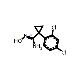 N/C(=N\O)C1(c2ccc(Cl)cc2Cl)CC1